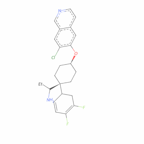 CCC(N)[C@]1(C2C=CC(F)=C(F)C2)CC[C@H](Oc2cc3ccncc3cc2Cl)CC1